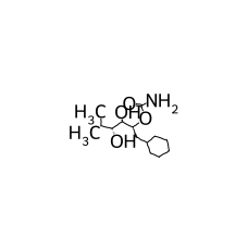 CC(C)[C@@H](O)[C@@H](O)[C@H](CC1CCCCC1)OC(N)=O